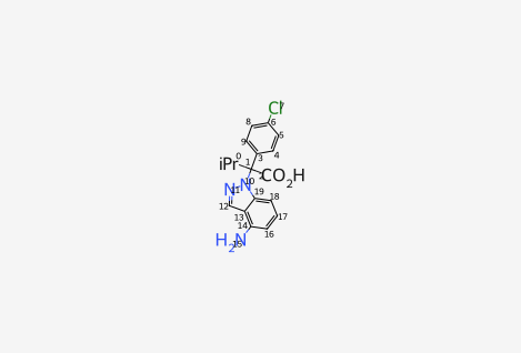 CC(C)C(C(=O)O)(c1ccc(Cl)cc1)n1ncc2c(N)cccc21